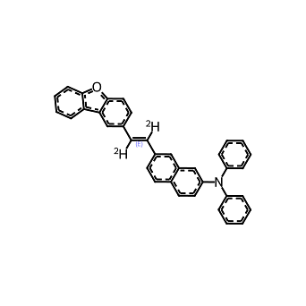 [2H]/C(=C(/[2H])c1ccc2oc3ccccc3c2c1)c1ccc2ccc(N(c3ccccc3)c3ccccc3)cc2c1